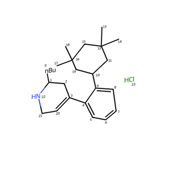 CCCCC1CC(c2ccccc2C2CC(C)(C)CC(C)(C)C2)=CCN1.Cl